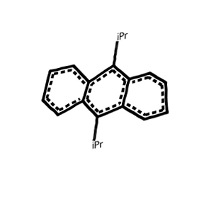 CC(C)c1c2ccccc2c(C(C)C)c2ccccc12